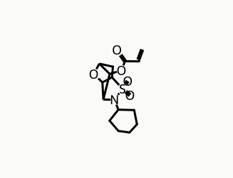 C=CC(=O)OC1C2CC3C(O2)C1N(C1CCCCC1)S3(=O)=O